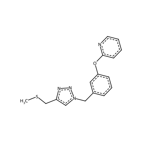 CSCc1cn(Cc2cccc(Oc3ccccn3)c2)nn1